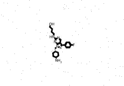 N[C@H]1CC[C@H](Cn2nc(-c3ccc(F)cc3)c3cnc(NCCCCO)nc32)CC1